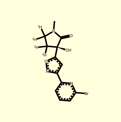 [2H]C1([2H])N(C)C(=O)[C@](O)(c2cc(-c3cccc(Br)n3)no2)C1([2H])[2H]